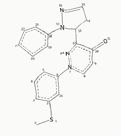 CSc1cccc(-n2ccc(=O)c(C3CC=NN3c3ccccc3)n2)c1